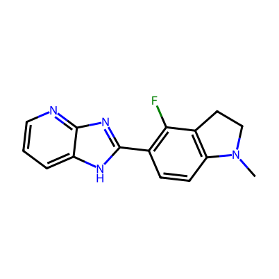 CN1CCc2c1ccc(-c1nc3ncccc3[nH]1)c2F